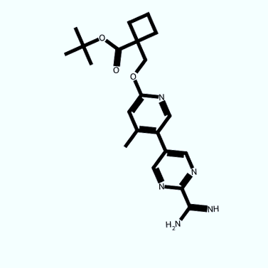 Cc1cc(OCC2(C(=O)OC(C)(C)C)CCC2)ncc1-c1cnc(C(=N)N)nc1